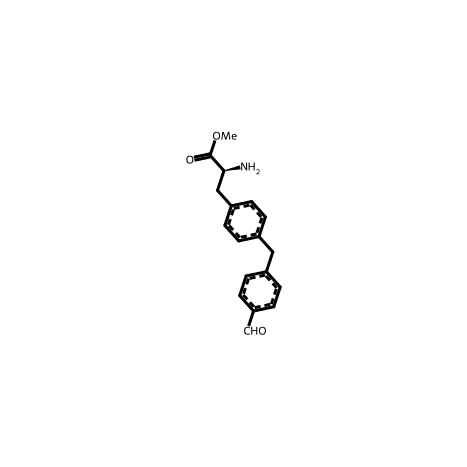 COC(=O)[C@@H](N)Cc1ccc(Cc2ccc(C=O)cc2)cc1